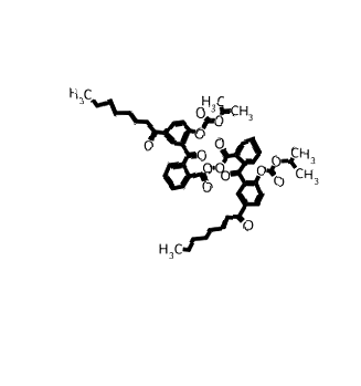 CCCCCCCC(=O)c1ccc(OC(=O)OC(C)C)c(C(=O)c2ccccc2C(=O)OOC(=O)c2ccccc2C(=O)c2cc(C(=O)CCCCCCC)ccc2OC(=O)OC(C)C)c1